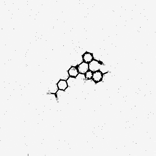 N#Cc1cccc(C#N)c1-c1c(C2=CCCC(C3CCC(C(=O)O)CC3)=C2)[nH]c2ccc(F)cc12